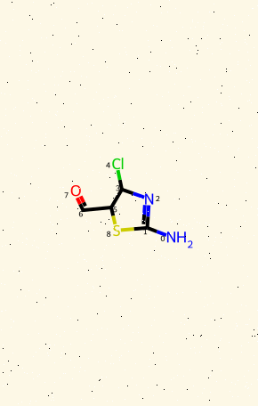 NC1=NC(Cl)C(C=O)S1